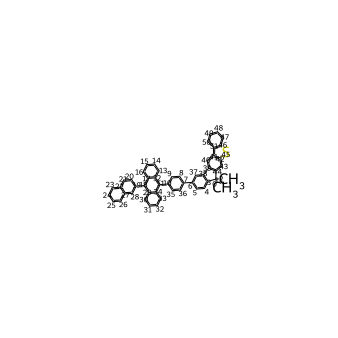 CC1(C)c2ccc(-c3ccc(-c4c5ccccc5c(-c5ccc6ccccc6c5)c5ccccc45)cc3)cc2-c2cc3c(cc21)sc1ccccc13